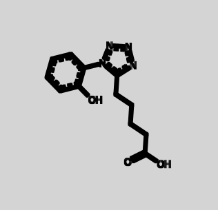 O=C(O)CCCCc1nnnn1-c1ccccc1O